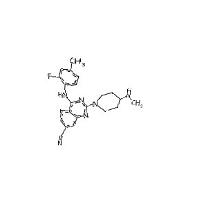 CNC1CCN(c2nc(Nc3ccc(C)cc3F)c3ccc(C#N)cc3n2)CC1